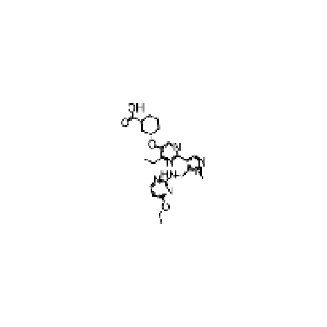 CCOc1ccnc(NCc2c(-c3ncc(O[C@H]4CCC[C@H](C(=O)O)C4)c(CC)n3)cnn2C)n1